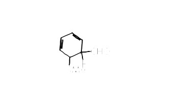 CSC1C=CC=CC1(F)C=O